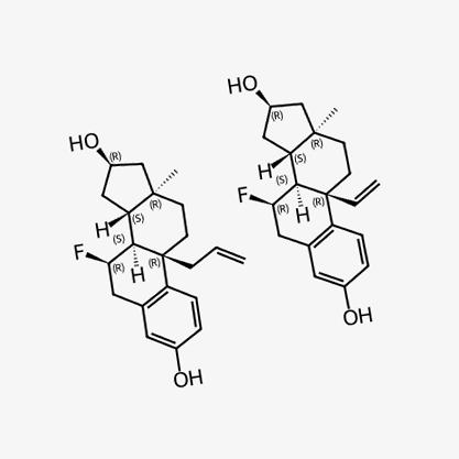 C=CC[C@]12CC[C@]3(C)C[C@H](O)C[C@H]3[C@@H]1[C@H](F)Cc1cc(O)ccc12.C=C[C@]12CC[C@]3(C)C[C@H](O)C[C@H]3[C@@H]1[C@H](F)Cc1cc(O)ccc12